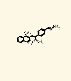 Cc1c(C=C(c2ccc(/C=N/N)cc2)N(C)C)ccc2ccccc12